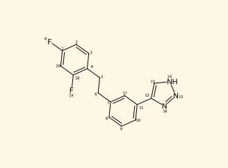 Fc1ccc(CCc2cccc(-c3c[nH]nn3)c2)c(F)c1